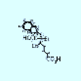 CCC(CCCC(=O)O)C(CC)(Sc1nc2ccccc2s1)C(=O)O